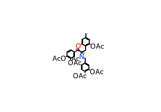 CC(=O)Oc1ccc(CN(C(C)=O)[C@@H]2Cc3c(OC(C)=O)cc(C)cc3O[C@@H]2c2ccc(OC(C)=O)c(OC(C)=O)c2)cc1OC(C)=O